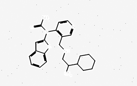 CC(CNCc1cnccc1N(C(N)=O)c1cc2ccccc2s1)C1CCCCC1